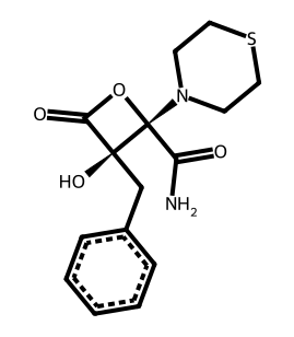 NC(=O)[C@@]1(N2CCSCC2)OC(=O)[C@@]1(O)Cc1ccccc1